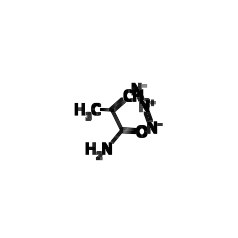 C=C(C)C(N)=O.[N-]=[N+]=[N-]